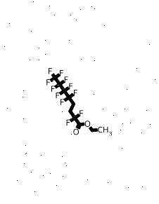 CCOC(=O)C(F)(F)CCC(F)(F)C(F)(F)C(F)(F)C(F)(F)F